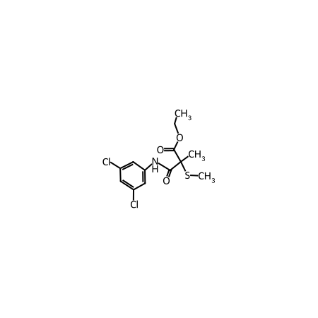 CCOC(=O)C(C)(SC)C(=O)Nc1cc(Cl)cc(Cl)c1